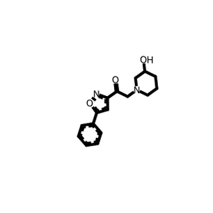 O=C(CN1CCCC(O)C1)c1cc(-c2ccccc2)on1